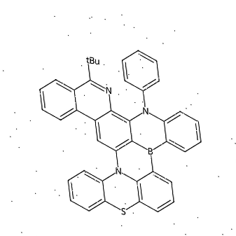 CC(C)(C)c1nc2c3c4c(cc2c2ccccc12)N1c2ccccc2Sc2cccc(c21)B4c1ccccc1N3c1ccccc1